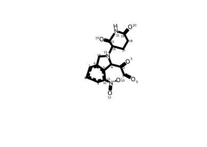 O=CC(=O)C1c2c(cccc2[N+](=O)[O-])CN1C1CCC(=O)NC1=O